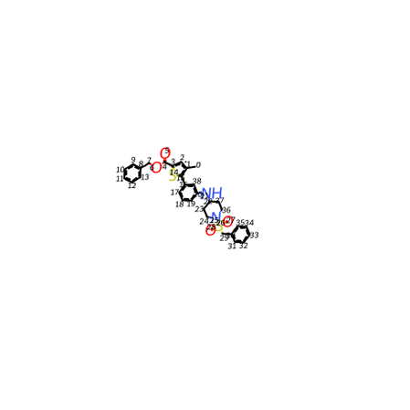 Cc1[c]c(C(=O)OCc2ccccc2)sc1-c1cccc(NC2CCN(S(=O)(=O)Cc3ccccc3)CC2)c1